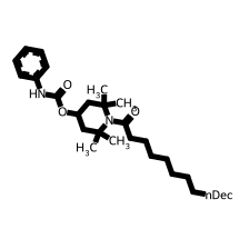 CCCCCCCCCCCCCCCCCC(=O)N1C(C)(C)CC(OC(=O)Nc2ccccc2)CC1(C)C